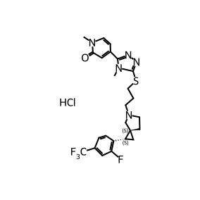 Cl.Cn1c(SCCCN2CC[C@]3(C[C@@H]3c3ccc(C(F)(F)F)cc3F)C2)nnc1-c1ccn(C)c(=O)c1